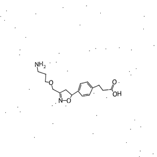 NCCCOCC1=NOC(c2ccc(CCC(=O)O)cc2)C1